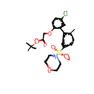 Cc1ccc(S(=O)(=O)N2CCOCC2)cc1-c1cc(Cl)ccc1OCC(=O)OC(C)(C)C